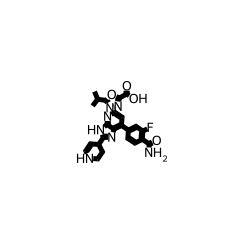 CC(C)c1nnc(C(=O)O)o1.NC(=O)c1ccc(-c2ccnc3[nH]c(C4C=CNCC4)nc23)cc1F